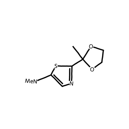 CNc1cnc(C2(C)OCCO2)s1